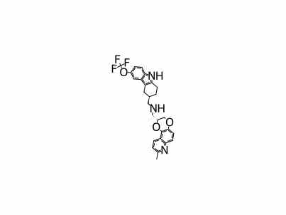 Cc1ccc2c3c(ccc2n1)OC[C@@H](CNC[C@@H]1CCc2[nH]c4ccc(OC(F)(F)F)cc4c2C1)O3